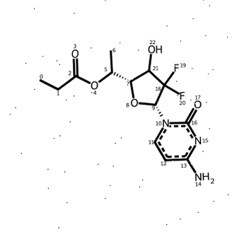 CCC(=O)OC(C)[C@H]1O[C@@H](n2ccc(N)nc2=O)C(F)(F)C1O